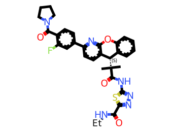 CCNC(=O)c1nnc(NC(=O)C(C)(C)[C@H]2c3ccccc3Oc3nc(-c4ccc(C(=O)N5CCCC5)c(F)c4)ccc32)s1